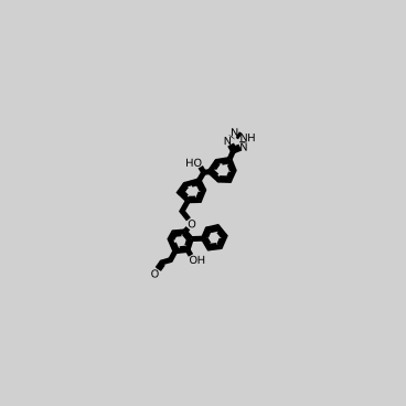 O=CCc1ccc(OCc2ccc(C(O)c3cccc(-c4nn[nH]n4)c3)cc2)c(-c2ccccc2)c1O